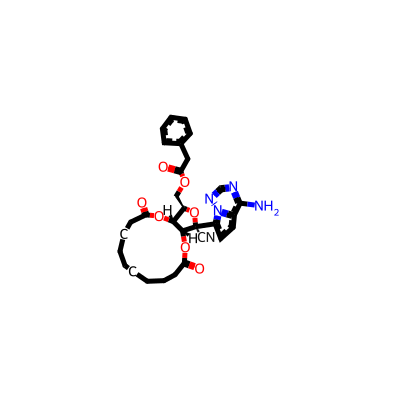 N#C[C@@]1(c2ccc3c(N)ncnn23)O[C@H](COC(=O)Cc2ccccc2)[C@H]2OC(=O)CCCCCCCCC(=O)O[C@H]21